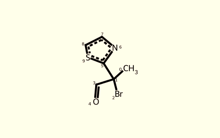 CC(Br)(C=O)c1nccs1